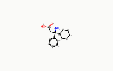 NC(CC(=O)O)(c1ccccc1)C1CCCCC1